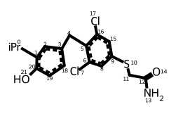 CC(C)c1cc(Cc2c(Cl)cc(SCC(N)=O)cc2Cl)ccc1O